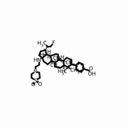 CC(CF)[C@@H]1CC[C@]2(NCCN3CCS(=O)(=O)CC3)CC[C@]3(C)[C@H](CC[C@@H]4[C@@]5(C)CC=C(c6ccc(C(=O)O)cc6)C(C)(C)[C@@H]5CC[C@]43C)[C@@H]12